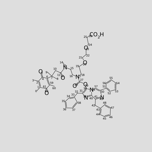 CC1=C(C)C(=O)C(C(C)(C)CC(=O)N(C)CCN(CCOCCOCCC(=O)O)C(=O)Oc2c(Cc3ccccc3)nc3c(Cc4ccccc4)nc(-c4ccccc4)cn23)=C(C)C1=O